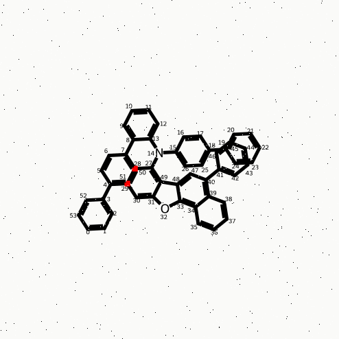 c1ccc(-c2ccc(-c3ccccc3N(c3ccc(-c4ccccc4)cc3)c3cccc4oc5c6ccccc6c(-c6ccccc6)cc5c34)cc2)cc1